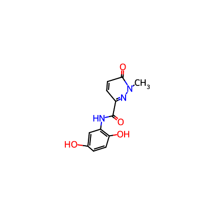 Cn1nc(C(=O)Nc2cc(O)ccc2O)ccc1=O